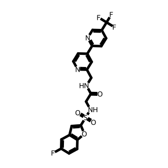 O=C(CNS(=O)(=O)c1cc2cc(F)ccc2o1)NCc1cc(-c2ccc(C(F)(F)F)cn2)ccn1